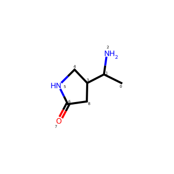 CC(N)C1CNC(=O)C1